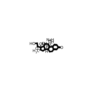 C[C@@H]1CC2[C@H]3CCC4=CC(=O)C=C[C@]4(C)[C@@]3(F)[C@@H](O)C[C@]2(C)[C@@]1(O)C(=O)CO.[NaH]